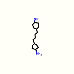 NC1CCC(CCCCC2CCC(N)CC2)CC1